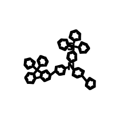 c1ccc(-c2ccc(N(c3ccc(-c4ccc5c(c4)C(c4ccccc4)(c4ccccc4)c4ccccc4-5)cc3)c3ccc([Si](c4ccccc4)(c4ccccc4)c4ccccc4)cc3)cc2)cc1